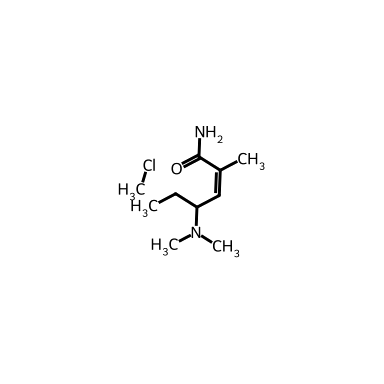 CCC(C=C(C)C(N)=O)N(C)C.CCl